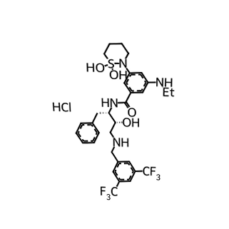 CCNc1cc(C(=O)N[C@@H](Cc2ccccc2)[C@H](O)CNCc2cc(C(F)(F)F)cc(C(F)(F)F)c2)cc(N2CCCCS2(O)O)c1.Cl